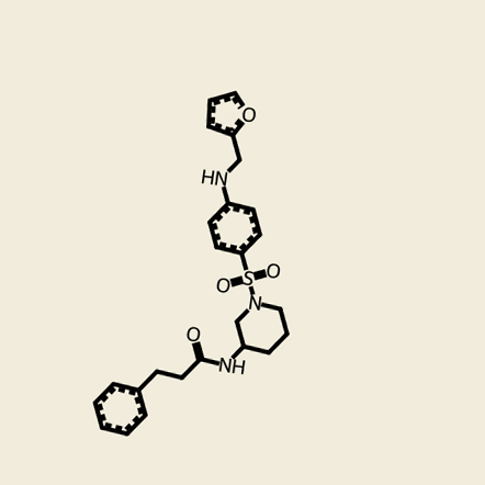 O=C(CCc1ccccc1)NC1CCCN(S(=O)(=O)c2ccc(NCc3ccco3)cc2)C1